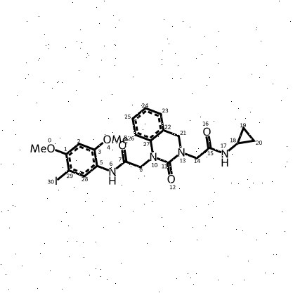 COc1cc(OC)c(NC(=O)CN2C(=O)N(CC(=O)NC3CC3)Cc3ccccc32)cc1I